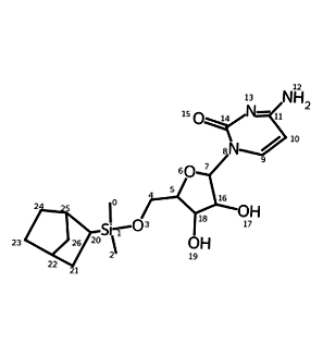 C[Si](C)(OCC1OC(n2ccc(N)nc2=O)C(O)C1O)C1CC2CCC1C2